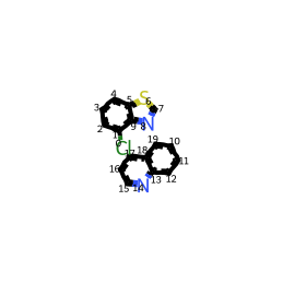 Clc1cccc2scnc12.c1ccc2ncccc2c1